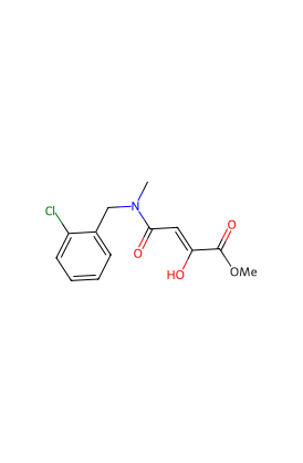 COC(=O)/C(O)=C/C(=O)N(C)Cc1ccccc1Cl